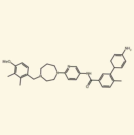 COc1ccc(CN2CCCN(c3ccc(NC(=O)c4ccc(C)c(C5C=CC(N)=CC5)c4)cn3)CC2)c(C)c1C